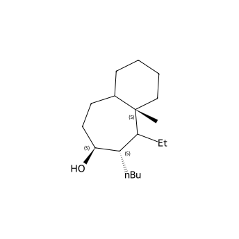 CCCC[C@H]1C(CC)[C@@]2(C)CCCCC2CC[C@@H]1O